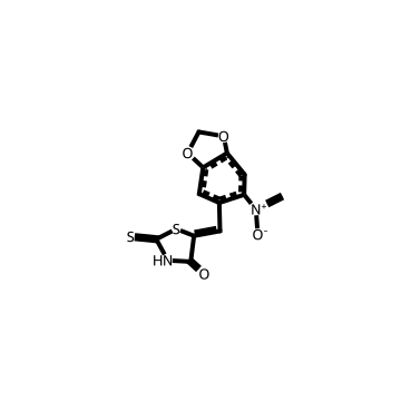 C=[N+]([O-])c1cc2c(cc1/C=C1\SC(=S)NC1=O)OCO2